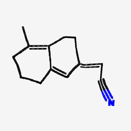 CC1=C2CCC(=CC#N)C=C2CCC1